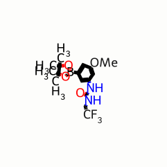 COc1cc(NC(=O)NCC(F)(F)F)cc(B2OC(C)(C)C(C)(C)O2)c1